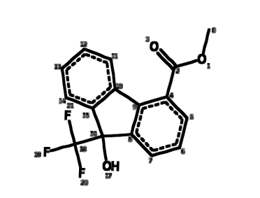 COC(=O)c1cccc2c1-c1ccccc1C2(O)C(F)(F)F